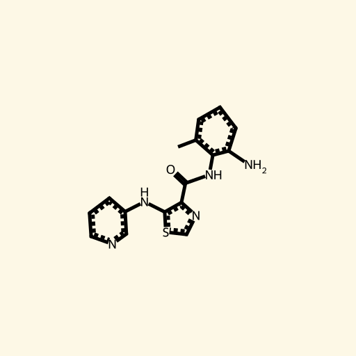 Cc1cccc(N)c1NC(=O)c1ncsc1Nc1cccnc1